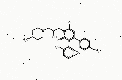 Cc1ccc(-c2cc(=O)n(CC(O)CN3CCN(C)CC3)c(=O)n2-c2c(C)ccc3c2S3)cc1